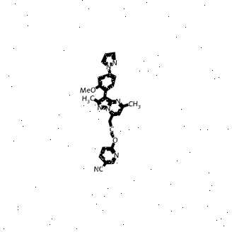 COc1cc(-n2cccn2)ccc1-c1c(C)nn2c(CCCOc3ccc(C#N)cn3)cc(C)nc12